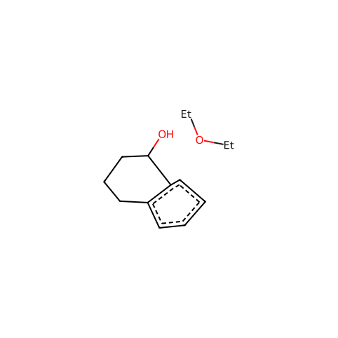 CCOCC.OC1CCCc2ccccc21